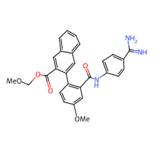 COCOC(=O)c1cc2ccccc2cc1-c1ccc(OC)cc1C(=O)Nc1ccc(C(=N)N)cc1